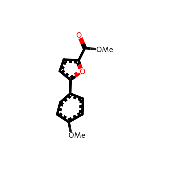 COC(=O)c1ccc(-c2ccc(OC)cc2)o1